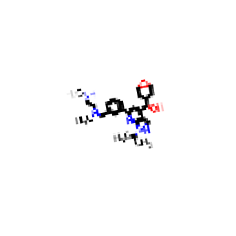 CNCCN(C)Cc1cccc(-c2cc(C(O)C3CCOCC3)c3cnn(C(C)C)c3n2)c1